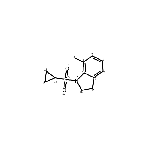 Cc1cccc2c1N(S(=O)(=O)C1CC1)CC2